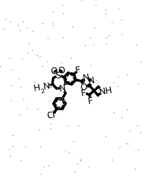 N[C@@H]1CN(Cc2ccc(Cl)cc2)c2cc(-c3nnc(C4(C(F)F)CNC4)o3)c(F)cc2S(=O)(=O)C1